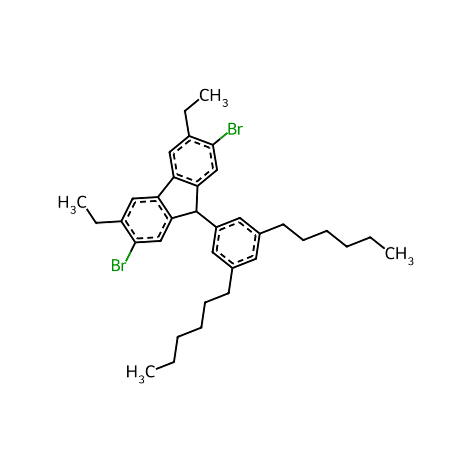 CCCCCCc1cc(CCCCCC)cc(C2c3cc(Br)c(CC)cc3-c3cc(CC)c(Br)cc32)c1